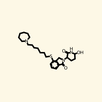 O=C1NC(O)CCC1N1Cc2c(SCCCCCCCN3CCCCCC3)cccc2C1=O